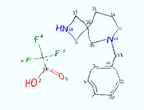 O=C(O)C(F)(F)F.c1ccc(CN2CCCC3(CNC3)C2)cc1